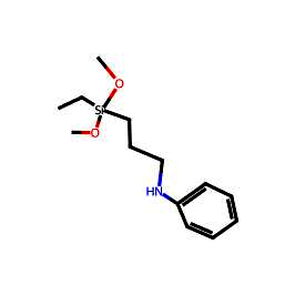 CC[Si](CCCNc1ccccc1)(OC)OC